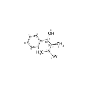 CC(C)N(C)[C@H](C)[C@@H](O)c1ccccc1